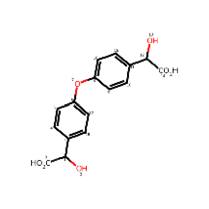 O=C(O)C(O)c1ccc(Oc2ccc(C(O)C(=O)O)cc2)cc1